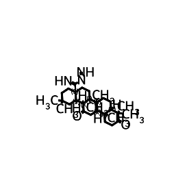 CC1(C)CC[C@]2(C(=N)N=N)CC[C@]3(C)[C@H](C(=O)C[C@@H]4[C@@]5(C)CCC(=O)C(C)(C)[C@@H]5CC[C@]43C)[C@@H]2C1